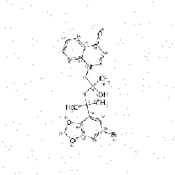 CC(C)(CC(O)(Cn1ccc(=O)c2ccccc21)C(F)(F)F)c1cc(Br)cc2c1OCO2